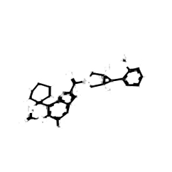 COc1ccccc1C1[C@H]2CN(C(=O)c3cc4cc(Cl)c5c(c4o3)C3(CCCCC3)NC(=O)N5)C[C@@H]12